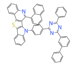 c1ccc(-c2cccc(-c3nc(-c4ccccc4)nc(-c4ccc(-n5c6ccccc6c6sc7c8ccccc8nc(-c8cccc9ccccc89)c7c65)cc4)n3)c2)cc1